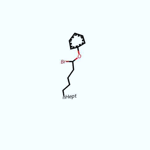 CCCCCCCCCCCC(Br)Oc1ccccc1